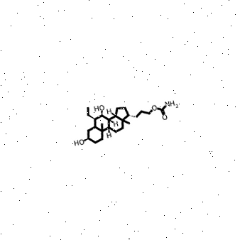 CC[C@@H]1C2C[C@H](O)CCC2(C)[C@H]2CCC3(C)[C@@H](CCCOC(N)=O)CC[C@H]3[C@H]2[C@@H]1O